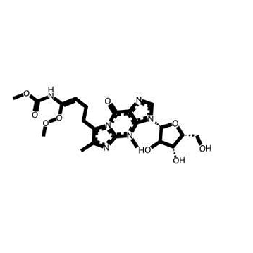 COO/C(=C\CCc1c(C)nc2n(C)c3c(ncn3[C@@H]3O[C@H](CO)[C@H](O)C3O)c(=O)n12)NC(=O)OC